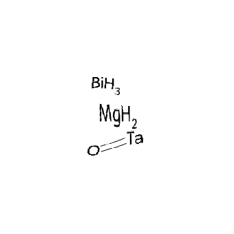 [BiH3].[MgH2].[O]=[Ta]